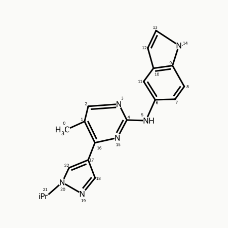 Cc1cnc(Nc2ccc3c(c2)C=C[N]3)nc1-c1cnn(C(C)C)c1